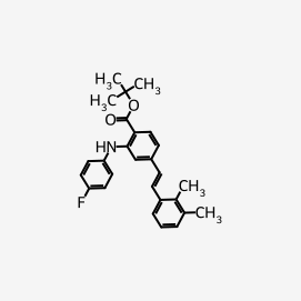 Cc1cccc(C=Cc2ccc(C(=O)OC(C)(C)C)c(Nc3ccc(F)cc3)c2)c1C